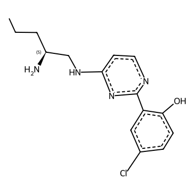 CCC[C@H](N)CNc1ccnc(-c2cc(Cl)ccc2O)n1